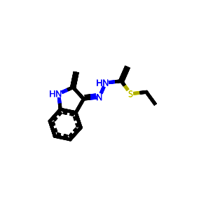 C=C(N/N=C1\C(=C)Nc2ccccc21)SCC